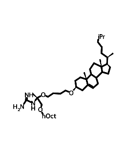 CCCCCCCCOC[C@](C)(NC(=N)N)OCCCCO[C@H]1CC[C@@]2(C)C(=CCC3C2CC[C@@]2(C)C3CC[C@@H]2[C@H](C)CCCC(C)C)C1